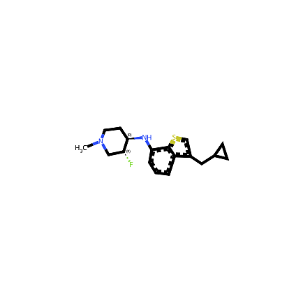 CN1CC[C@@H](Nc2cccc3c(CC4CC4)csc23)[C@H](F)C1